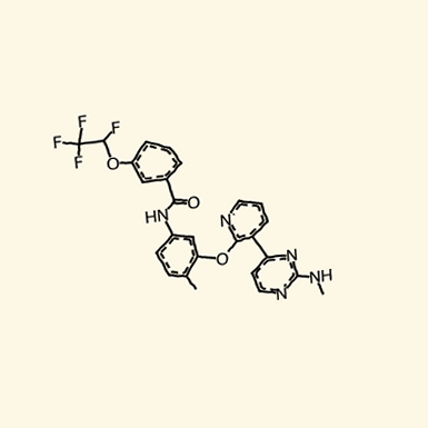 CNc1nccc(-c2cccnc2Oc2cc(NC(=O)c3cccc(OC(F)C(F)(F)F)c3)ccc2C)n1